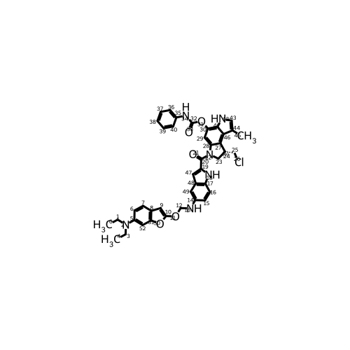 CCN(CC)c1ccc2cc(OCNc3ccc4[nH]c(C(=O)N5C[C@@H](CCl)c6c5cc(OC(=O)Nc5ccccc5)c5[nH]cc(C)c65)cc4c3)oc2c1